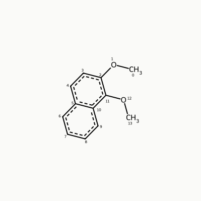 COc1ccc2ccccc2c1OC